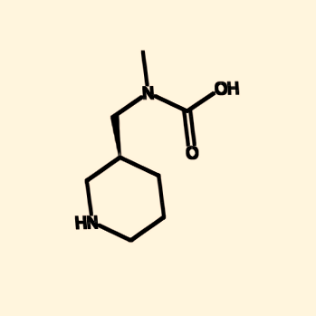 CN(C[C@H]1CCCNC1)C(=O)O